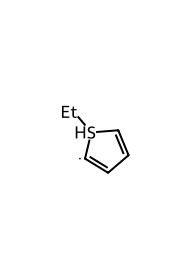 CC[SH]1[C]=CC=C1